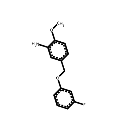 COc1ccc(COc2cccc(F)c2)cc1N